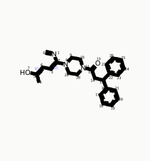 C=N/C(=C\C=C(/C)O)N1CCN(C(=O)CC(c2ccccc2)c2ccccc2)CC1